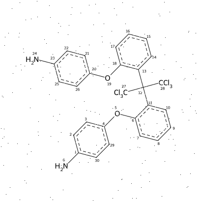 Nc1ccc(Oc2ccccc2C(c2ccccc2Oc2ccc(N)cc2)(C(Cl)(Cl)Cl)C(Cl)(Cl)Cl)cc1